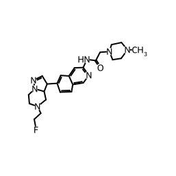 CN1CCN(CC(=O)Nc2cc3cc(C4C=NN5CCN(CCF)CC45)ccc3cn2)CC1